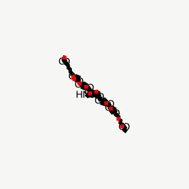 C=CC(=O)OCCCCCCOc1ccc(OC(=O)C2CCC(C(=O)Oc3ccc4cc(OC(=O)C5CCC(C(=O)Oc6ccc(OCCCCCCOC(=O)C=C)cc6)CC5)c(C=N)cc4c3)CC2)cc1